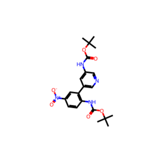 CC(C)(C)OC(=O)Nc1cncc(-c2cc([N+](=O)[O-])ccc2NC(=O)OC(C)(C)C)c1